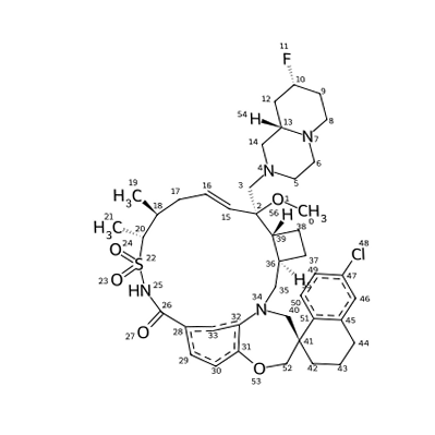 CO[C@]1(CN2CCN3CC[C@@H](F)C[C@H]3C2)/C=C/C[C@H](C)[C@@H](C)S(=O)(=O)NC(=O)c2ccc3c(c2)N(C[C@@H]2CC[C@H]21)C[C@@]1(CCCc2cc(Cl)ccc21)CO3